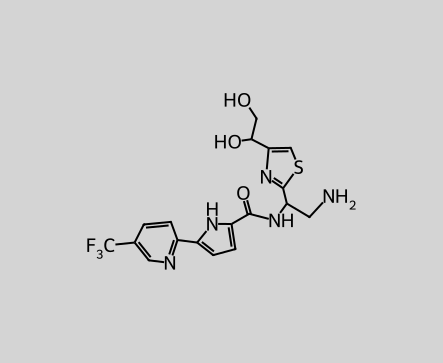 NCC(NC(=O)c1ccc(-c2ccc(C(F)(F)F)cn2)[nH]1)c1nc(C(O)CO)cs1